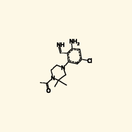 CC(=O)N1CCN(c2cc(Cl)cc(N)c2C=N)CC1(C)C